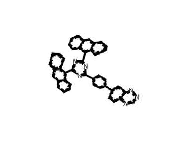 c1ccc2c(-c3nc(-c4ccc(-c5ccc6ncnnc6c5)cc4)nc(-c4c5ccccc5cc5ccccc45)n3)c3ccccc3cc2c1